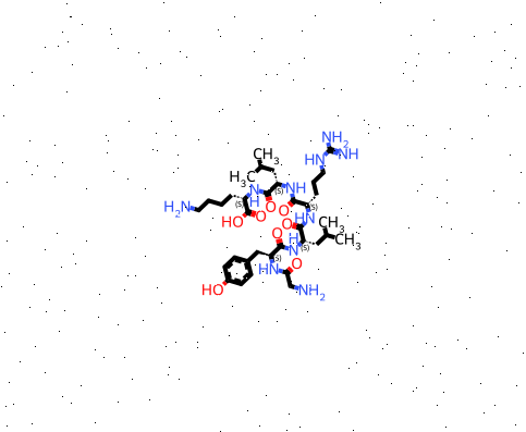 CC(C)C[C@H](NC(=O)[C@H](CCCNC(=N)N)NC(=O)[C@H](CC(C)C)NC(=O)[C@H](Cc1ccc(O)cc1)NC(=O)CN)C(=O)N[C@@H](CCCCN)C(=O)O